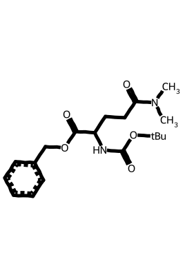 CN(C)C(=O)CCC(NC(=O)OC(C)(C)C)C(=O)OCc1ccccc1